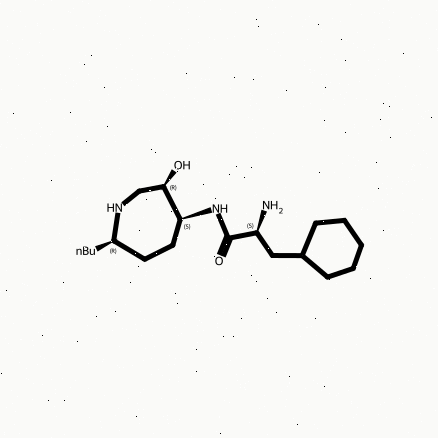 CCCC[C@@H]1CC[C@H](NC(=O)[C@@H](N)CC2CCCCC2)[C@H](O)CN1